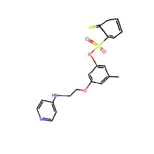 Cc1cc(OCCNc2ccncc2)cc(OS(=O)(=O)C2=CC=CCC2=S)c1